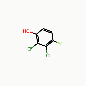 Oc1ccc(F)c(Cl)c1Cl